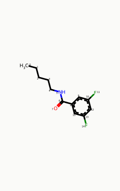 CCCCCNC(=O)c1cc(F)cc(F)c1